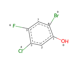 Oc1cc(Cl)c(F)cc1Br